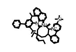 C=C1C2C(CCC(/C=C\CC)(CC)Cc3n(-c4c(C(C)C)cc(-c5ccccc5)cc4C(C)C)c4c5ccccc5ccc4[n+]31)c1ccccc1-c1ccc([Si](C)(C)C)c[n+]12